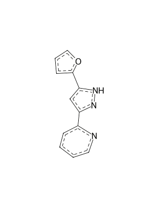 c1ccc(-c2cc(-c3ccco3)[nH]n2)nc1